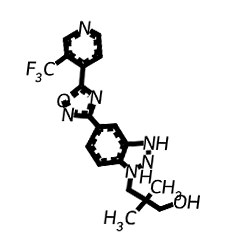 CC(C)(CO)CN1NNc2cc(-c3noc(-c4ccncc4C(F)(F)F)n3)ccc21